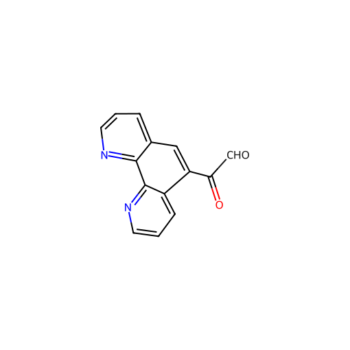 O=CC(=O)c1cc2cccnc2c2ncccc12